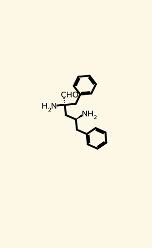 N[C@@H](Cc1ccccc1)C[C@](N)([C]=O)Cc1ccccc1